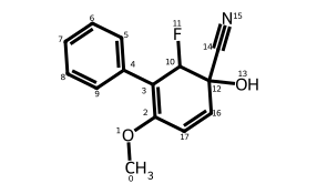 COC1=C(c2ccccc2)C(F)C(O)(C#N)C=C1